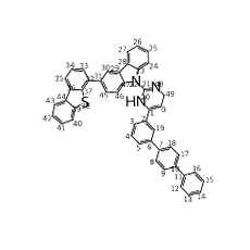 C1=C(c2cccc(-c3ccc(-c4ccccc4)cc3)c2)NC(n2c3ccccc3c3cc(-c4cccc5c4sc4ccccc45)ccc32)=NC1